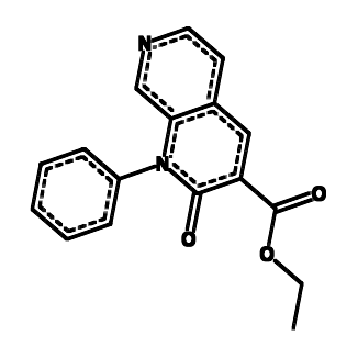 CCOC(=O)c1cc2ccncc2n(-c2ccccc2)c1=O